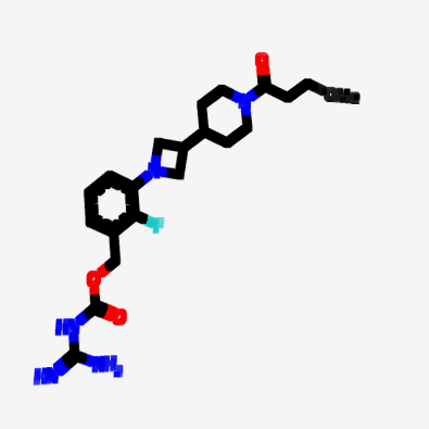 COCCC(=O)N1CCC(C2CN(c3cccc(COC(=O)NC(=N)N)c3F)C2)CC1